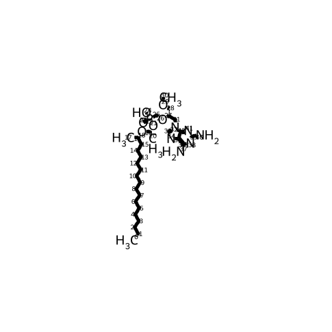 CCCCCCCCCCCCCCCCC(C)OC(C)OP(=O)(O)CO[C@H](COC)Cn1cnc2c(N)nc(N)nc21